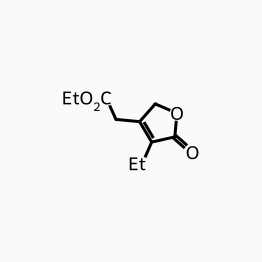 CCOC(=O)CC1=C(CC)C(=O)OC1